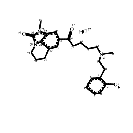 COc1ccccc1CCN(C)CCCCC(=O)c1cc2c3c(c1)n(C)c(=O)n3CCC2.Cl